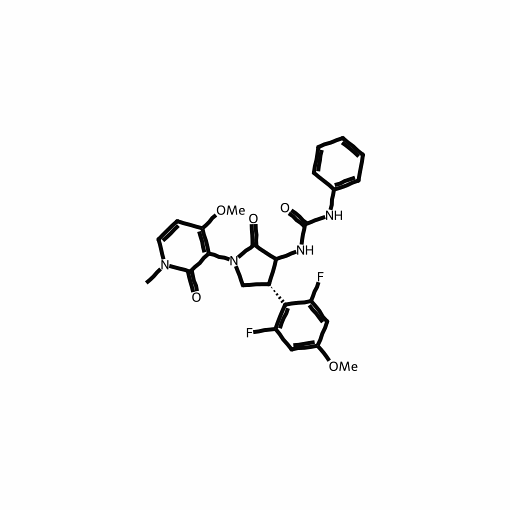 COc1cc(F)c([C@@H]2CN(c3c(OC)ccn(C)c3=O)C(=O)C2NC(=O)Nc2ccccc2)c(F)c1